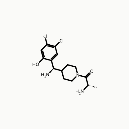 C[C@H](N)C(=O)N1CCC([C@@H](N)c2cc(Cl)c(Cl)cc2O)CC1